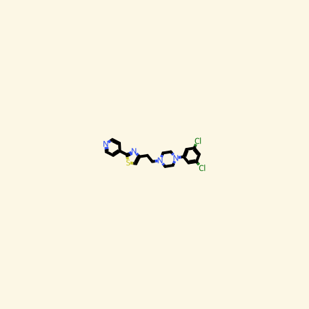 Clc1cc(Cl)cc(N2CCN(CCc3csc(-c4ccncc4)n3)CC2)c1